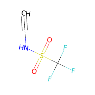 C#CNS(=O)(=O)C(F)(F)F